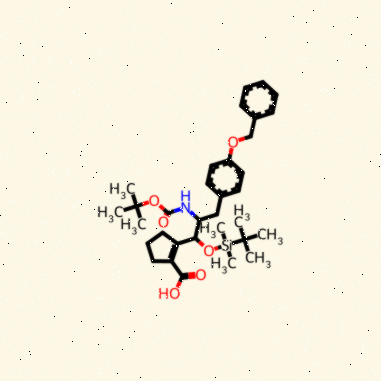 CC(C)(C)OC(=O)NC(Cc1ccc(OCc2ccccc2)cc1)C(O[Si](C)(C)C(C)(C)C)C1=C(C(=O)O)CCC1